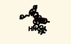 COCCCN1CCOc2ccc(C(O[C@H]3CNC[C@@H](O[Si](C(C)C)(C(C)C)C(C)C)[C@@H]3c3ccccc3COCC3C[C@@H]3COC)S(=O)(=O)c3ccc(C)cc3)cc21